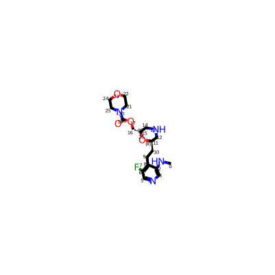 CNc1cncc(F)c1CC[C@@H]1CNC[C@@H](COC(=O)N2CCOCC2)O1